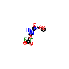 COc1cc(OC)c(F)c(COC2C=NC(Nc3ccn(CCOC4CCCCO4)c(=O)c3)=NC2)c1F